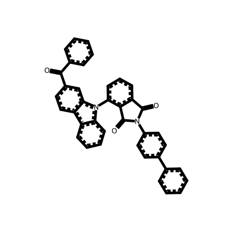 O=C(c1ccccc1)c1ccc2c3ccccc3n(-c3cccc4c3C(=O)N(c3ccc(-c5ccccc5)cc3)C4=O)c2c1